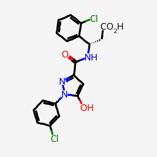 O=C(O)C[C@H](NC(=O)c1cc(O)n(-c2cccc(Cl)c2)n1)c1ccccc1Cl